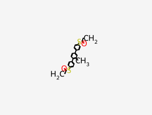 C=CC(=O)Sc1ccc(-c2ccc(-c3ccc(SC(=O)C=C)cc3)c(C)c2)cc1